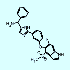 CS(=O)(=O)c1c(Oc2cccc(-c3ncc(C(N)c4ccccc4)[nH]3)c2)c(F)cc2[nH]ccc12